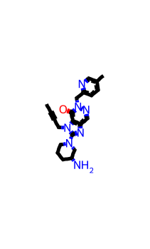 CC#CCn1c(N2CCCC(N)C2)nc2cnn(Cc3ccc(C)cn3)c(=O)c21